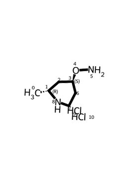 C[C@@H]1C[C@@H](ON)CCN1.Cl.Cl